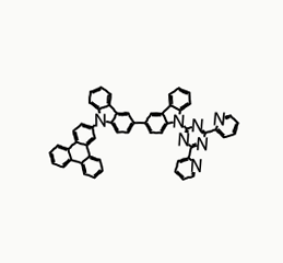 c1ccc(-c2nc(-c3ccccn3)nc(-n3c4ccccc4c4cc(-c5ccc6c(c5)c5ccccc5n6-c5ccc6c7ccccc7c7ccccc7c6c5)ccc43)n2)nc1